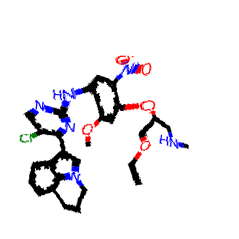 CCOCC(CNC)Oc1cc(OC)c(Nc2ncc(Cl)c(-c3cn4c5c(cccc35)CCC4)n2)cc1[N+](=O)[O-]